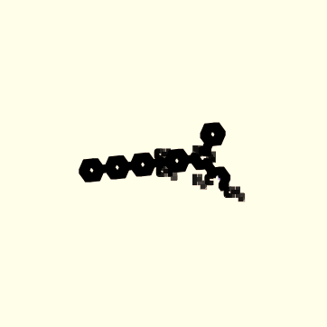 C=C/C=C\C(=C)c1cc(-c2ccc(C(C)(C)c3ccc(-c4ccc(-c5ccccc5)cc4)cc3)cc2)nc(-c2ccccc2)n1